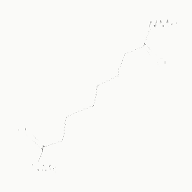 CNC(=O)CCCCCCC(=O)NC